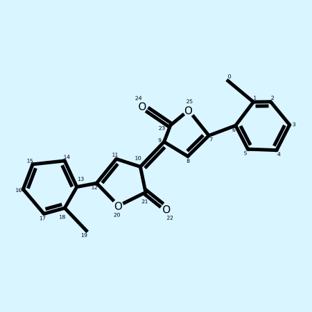 Cc1ccccc1C1=C/C(=C2/C=C(c3ccccc3C)OC2=O)C(=O)O1